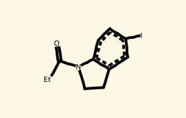 CCC(=O)N1CCc2cc(I)ccc21